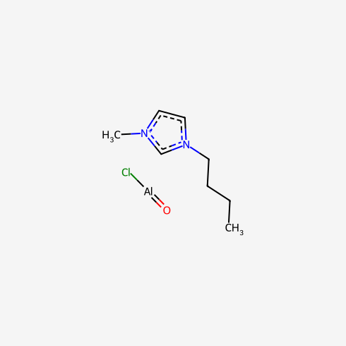 CCCCn1cc[n+](C)c1.[O]=[Al][Cl]